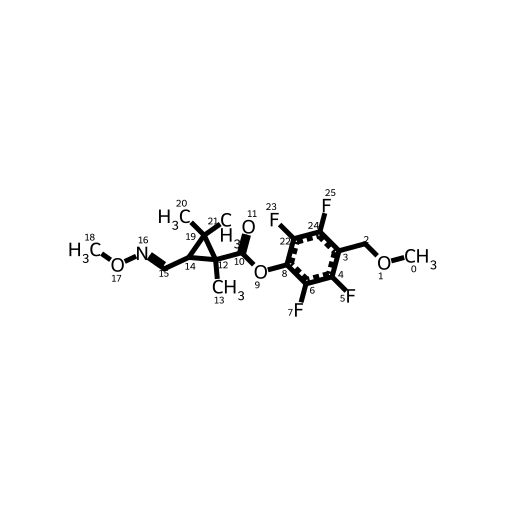 COCc1c(F)c(F)c(OC(=O)C2(C)C(C=NOC)C2(C)C)c(F)c1F